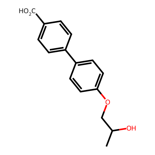 CC(O)COc1ccc(-c2ccc(C(=O)O)cc2)cc1